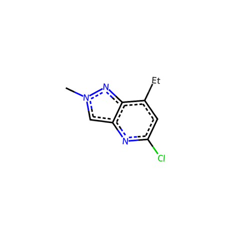 CCc1cc(Cl)nc2cn(C)nc12